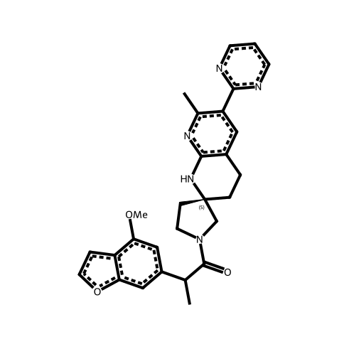 COc1cc(C(C)C(=O)N2CC[C@@]3(CCc4cc(-c5ncccn5)c(C)nc4N3)C2)cc2occc12